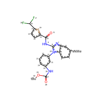 CNc1ccc2c(c1)nc(NC(=O)c1ccc(C(F)F)s1)n2-c1cccc(NC(=O)OC(C)(C)C)c1